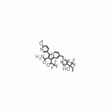 CCC(O)(c1cn(Cc2ccn3c(-c4ccc(OC)nc4)c(C(N)=O)c(C(=O)C(F)(F)F)c3c2)nn1)C(F)(F)F